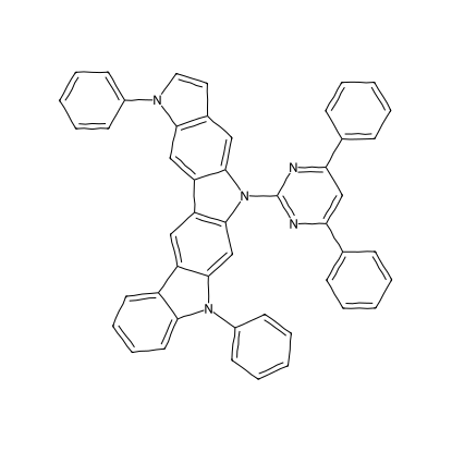 c1ccc(-c2cc(-c3ccccc3)nc(-n3c4cc5ccn(-c6ccccc6)c5cc4c4cc5c6ccccc6n(-c6ccccc6)c5cc43)n2)cc1